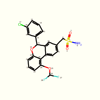 NS(=O)(=O)Cc1ccc2c(c1)C(c1cccc(Cl)c1)Oc1cccc(OC(F)F)c1-2